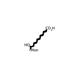 CCCCCCCCCC(O)C/C=C/C=C/C=C/C=C/C(=O)O